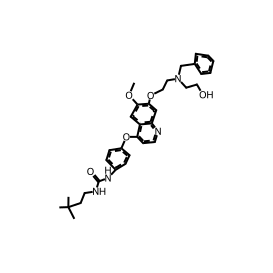 COc1cc2c(Oc3ccc(NC(=O)NCCC(C)(C)C)cc3)ccnc2cc1OCCN(CCO)Cc1ccccc1